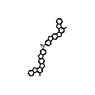 Cc1cc2c(c3c1-c1ccccc1C3)-c1cc3c(cc1C2)-c1ccc(N(C)c2ccc4c(c2)Cc2cc5c(cc2-4)Cc2cc(C)c4c(c2-5)Cc2ccccc2-4)cc1C3